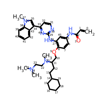 C=CC(=O)Nc1ccc(OCC(CCC2CCCCC2)N(C)CCN(C)C)c(Nc2nccc(-c3cn(C)c4ccccc34)n2)c1